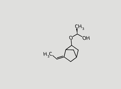 C/C=C1/CC2CC(O[C@@H](C)O)C1C2